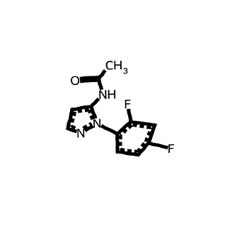 CC(=O)Nc1ccnn1-c1ccc(F)cc1F